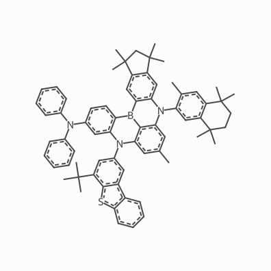 Cc1cc2c3c(c1)N(c1cc4c(cc1C)C(C)(C)CCC4(C)C)c1cc4c(cc1B3c1ccc(N(c3ccccc3)c3ccccc3)cc1N2c1cc(C(C)(C)C)c2sc3ccccc3c2c1)C(C)(C)CC4(C)C